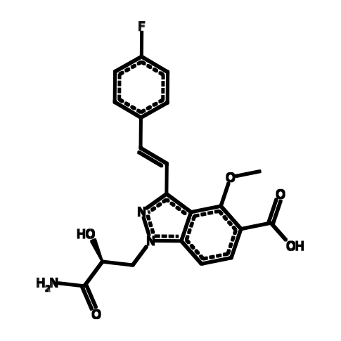 COc1c(C(=O)O)ccc2c1c(C=Cc1ccc(F)cc1)nn2C[C@H](O)C(N)=O